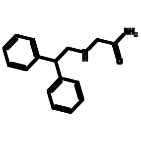 NC(=O)CNCC(c1ccccc1)c1ccccc1